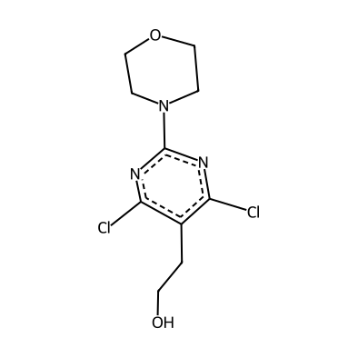 OCCc1c(Cl)nc(N2CCOCC2)nc1Cl